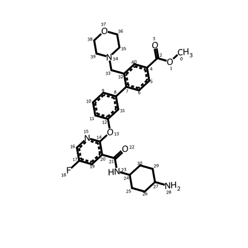 COC(=O)c1ccc(-c2cccc(Oc3ncc(F)cc3C(=O)NC3CCC(N)CC3)c2)c(CN2CCOCC2)c1